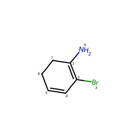 NC1=C(Br)C=CCC1